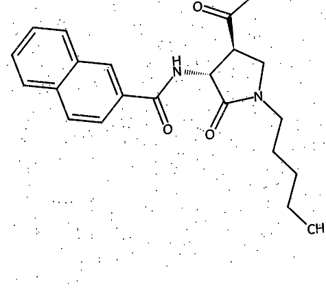 CCCCCN1C[C@H](C(=O)O)[C@@H](NC(=O)c2ccc3ccccc3c2)C1=O